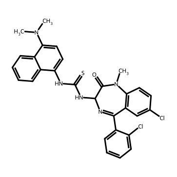 CN(C)c1ccc(NC(=S)NC2N=C(c3ccccc3Cl)c3cc(Cl)ccc3N(C)C2=O)c2ccccc12